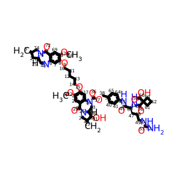 C=C1C[C@H]2C=Nc3cc(OCCCCCOc4cc5c(cc4OC)C(=O)N4CC(=C)[C@H](O)[C@@H]4CN5C(=O)OCc4ccc(NC(=O)[C@H](CCCNC(N)=O)NC(=O)C5(C(=O)O)CCC5)cc4)c(OC)cc3C(=O)N2C1